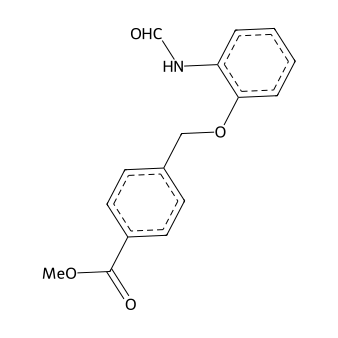 COC(=O)c1ccc(COc2ccccc2NC=O)cc1